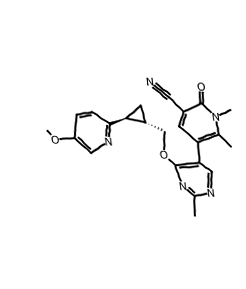 COc1ccc([C@H]2C[C@@H]2COc2nc(C)ncc2-c2cc(C#N)c(=O)n(C)c2C)nc1